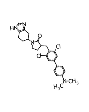 CN(C)c1ccc(-c2cc(Cl)c(CC3CCN(C4CCc5[nH]cnc5C4)C3=O)c(Cl)c2)cc1